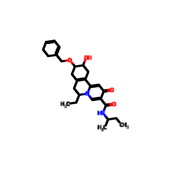 CCC(C)NC(=O)c1cn2c(cc1=O)C1=C(CC(OCC3=CC=CCC3)C(O)C1)CC2CC